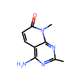 Cc1nc(N)c2ccc(=O)n(C)c2n1